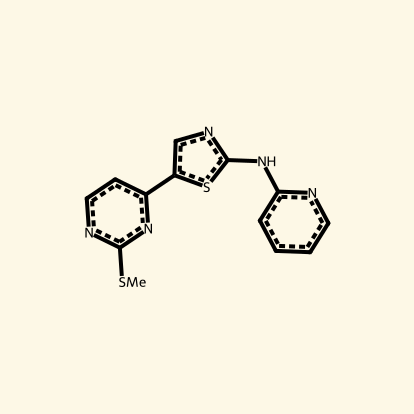 CSc1nccc(-c2cnc(Nc3ccccn3)s2)n1